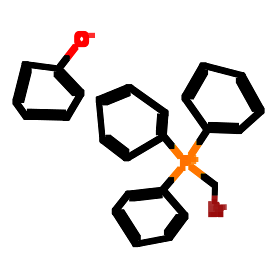 BrC[P+](c1ccccc1)(c1ccccc1)c1ccccc1.[O-]c1ccccc1